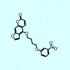 O=c1ccc2c(OCCCCOc3cccc([N+](=O)[O-])c3)c3ccoc3cc2o1